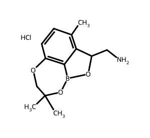 Cc1ccc2c3c1C(CN)OB3OC(C)(C)CO2.Cl